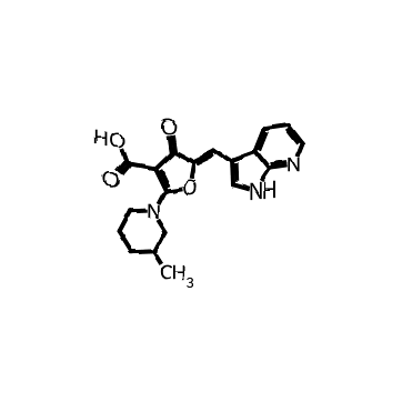 CC1CCCN(C2=C(C(=O)O)C(=O)C(=Cc3c[nH]c4ncccc34)O2)C1